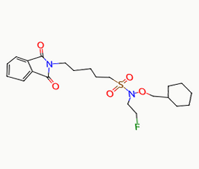 O=C1c2ccccc2C(=O)N1CCCCCS(=O)(=O)N(CCF)OCC1CCCCC1